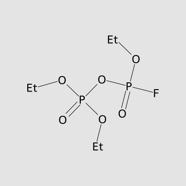 CCOP(=O)(F)OP(=O)(OCC)OCC